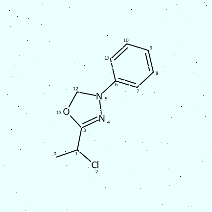 CC(Cl)C1=NN(c2ccccc2)CO1